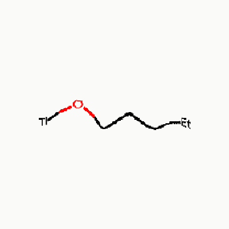 CCCCC[O][Tl]